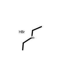 Br.C[CH2][In][CH2]C